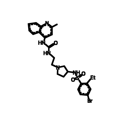 CCc1cc(Br)ccc1S(=O)(=O)NC1CCN(CCNC(=O)Nc2cc(C)nc3ccccc23)C1